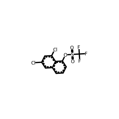 O=S(=O)(Oc1cccc2cc(Cl)cc(Cl)c12)C(F)(F)F